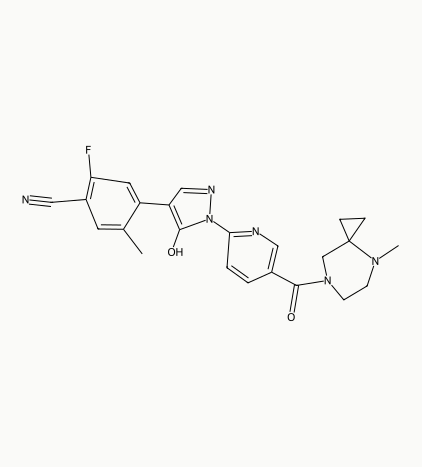 Cc1cc(C#N)c(F)cc1-c1cnn(-c2ccc(C(=O)N3CCN(C)C4(CC4)C3)cn2)c1O